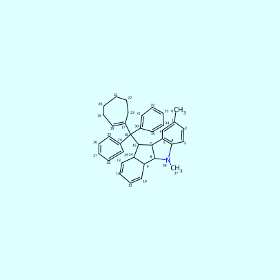 Cc1ccc2c(c1)C1C(C3C=CC=CC3C1C(C1=CCCCCC1)(c1ccccc1)c1ccccc1)N2C